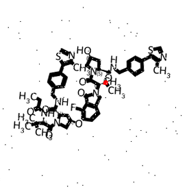 CCC(=O)N[C@H](C(=O)N1C[C@H](Oc2ccc3c(c2F)C(=O)N([C@H](C(=O)N2C[C@H](O)C[C@H]2C(=O)NCc2ccc(-c4scnc4C)cc2)C(C)C)C3)C[C@H]1C(=O)NCc1ccc(-c2scnc2C)cc1)C(C)(C)C